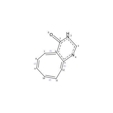 O=c1[nH]cnc2/c1=C\C=C/C=C\C=2